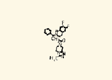 Cc1nnc2n1CCN(C(=O)C[C@@H](Cc1cc(F)c(F)cc1F)N[C@@H](C)c1ccccc1)C2